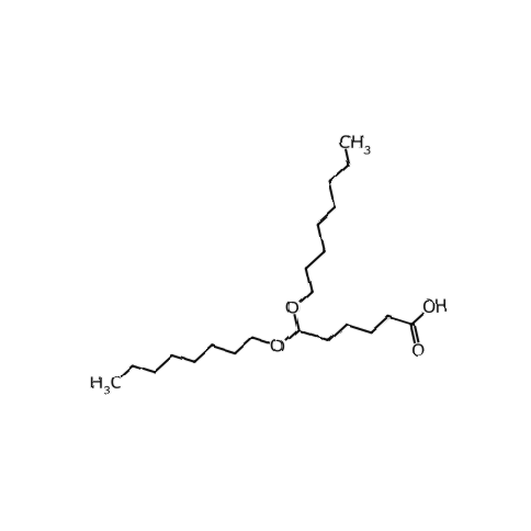 CCCCCCCCOC(CCCCC(=O)O)OCCCCCCCC